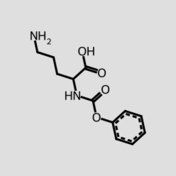 NCCCC(NC(=O)Oc1ccccc1)C(=O)O